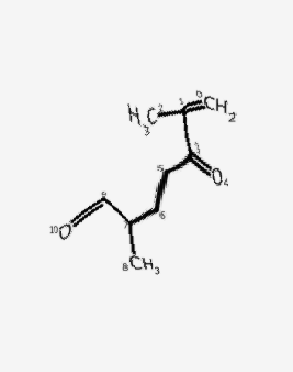 C=C(C)C(=O)CCC(C)C=O